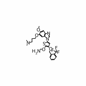 COc1cc2ncn(-c3cc(OCc4ccccc4C(F)(F)F)c(OCN)s3)c2cc1OCCCN(C)C